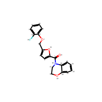 O=C(c1ccc(COc2ccccc2F)o1)N1CCOc2ccccc21